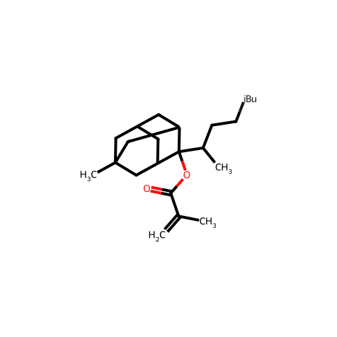 C=C(C)C(=O)OC1(C(C)CCC(C)CC)C2CC3CC1CC(C)(C3)C2